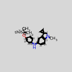 CN1CC2(CC2)c2cc(Nc3ccc(O[Si](C)(C)C(C)(C)C)cc3)ccc21